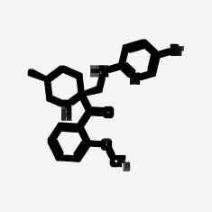 C[C@H]1CC[C@](CNc2ccc(Br)cn2)(C(=O)c2ccccc2OC(F)(F)F)NC1